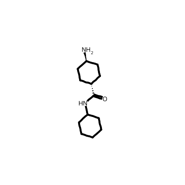 N[C@H]1CC[C@H](C(=O)NC2CCCCC2)CC1